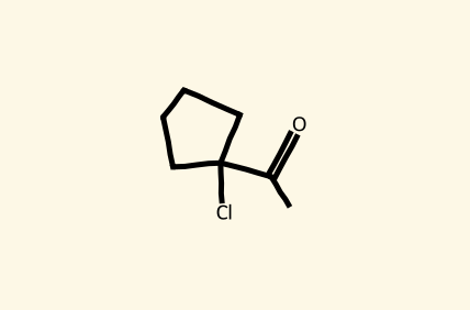 CC(=O)C1(Cl)CCCC1